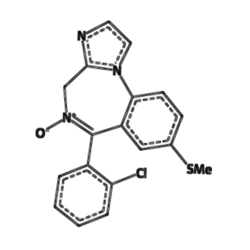 CSc1ccc2c(c1)C(c1ccccc1Cl)=[N+]([O-])Cc1nccn1-2